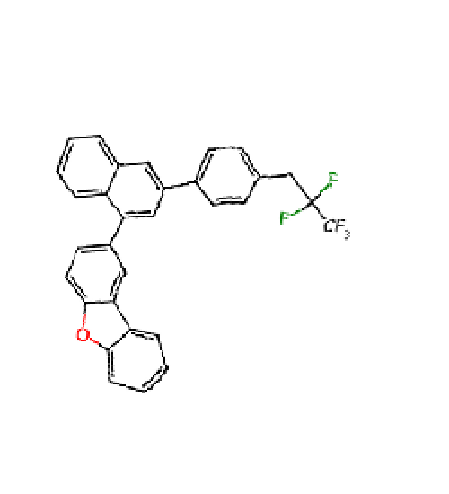 FC(F)(F)C(F)(F)Cc1ccc(-c2cc(-c3ccc4oc5ccccc5c4c3)c3ccccc3c2)cc1